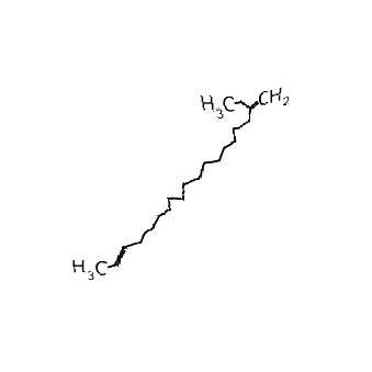 C=C(CC)CCCCCCCCCCCCCCCC=CC